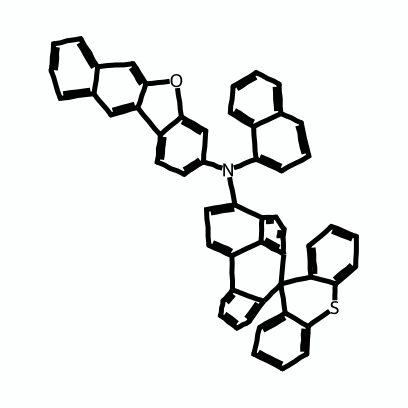 c1ccc2c(c1)Sc1ccccc1C21c2ccccc2-c2ccc(N(c3ccc4c(c3)oc3cc5ccccc5cc34)c3cccc4ccccc34)c3cccc1c23